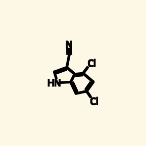 N#Cc1c[nH]c2cc(Cl)cc(Cl)c12